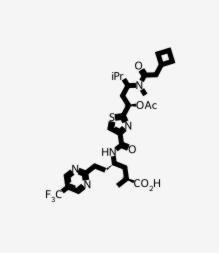 CC(=O)O[C@H](CC(C(C)C)N(C)C(=O)CC1CCC1)c1nc(C(=O)N[C@@H](CCc2ncc(C(F)(F)F)cn2)C[C@H](C)C(=O)O)cs1